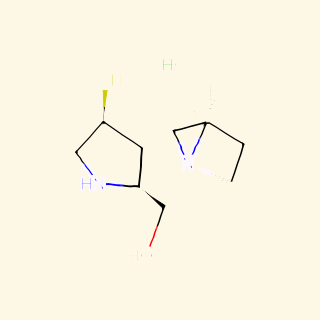 C1C[N@]2C[C@@H]12.Cl.OC[C@@H]1C[C@H](S)CN1